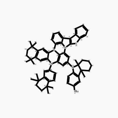 CC(C)(C)c1ccc2c(c1)C1(C)CCCCC1(C)N2c1cc2c3c(c1)-n1c4sc5ccccc5c4c4cccc(c41)B3c1cc3c(cc1N2c1ccc2c(c1)C(C)(C)CCC2(C)C)C(C)(C)CCC3(C)C